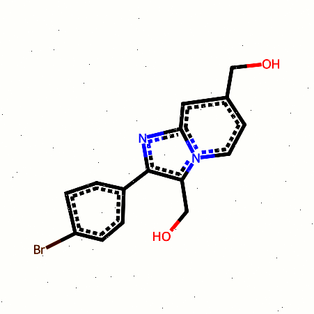 OCc1ccn2c(CO)c(-c3ccc(Br)cc3)nc2c1